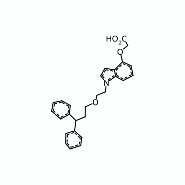 O=C(O)COc1cccc2c1ccn2CCOCCC(c1ccccc1)c1ccccc1